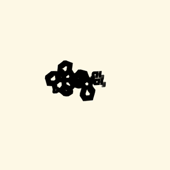 CC1(C)c2ccccc2-c2c(-c3cccc4c3C3(c5ccccc5O4)c4ccccc4-c4ccccc43)cccc21